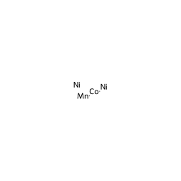 [Co].[Mn].[Ni].[Ni]